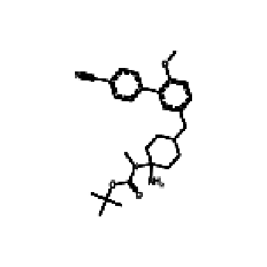 COc1ccc(CC2CCC(N)(N(C)C(=O)OC(C)(C)C)CC2)cc1-c1ccc(C#N)cc1